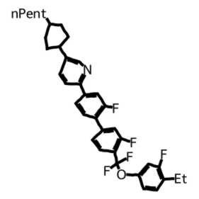 CCCCCC1CCC(c2ccc(-c3ccc(-c4ccc(C(F)(F)Oc5ccc(CC)c(F)c5)c(F)c4)c(F)c3)nc2)CC1